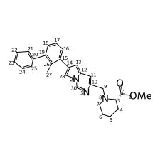 COC(=O)[C@@H]1CCCCN1Cc1cc2cc(-c3cccc(-c4ccccc4)c3C)cn2cn1